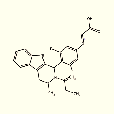 C=C(CC)N1C(C)Cc2c([nH]c3ccccc23)C1c1c(F)cc(/C=C/C(=O)O)cc1F